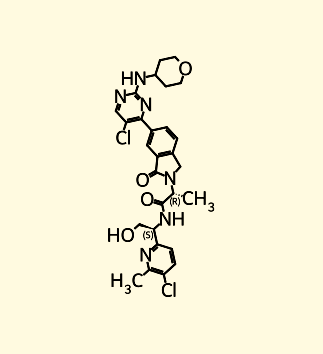 Cc1nc([C@@H](CO)NC(=O)[C@@H](C)N2Cc3ccc(-c4nc(NC5CCOCC5)ncc4Cl)cc3C2=O)ccc1Cl